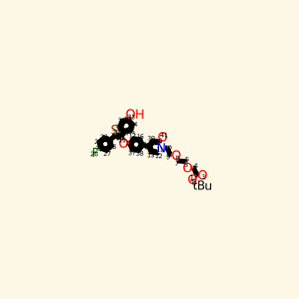 CC(C)(C)OC(=O)COCCOCCn1ccc(-c2ccc(Oc3c(-c4ccc(F)cc4)sc4cc(O)ccc34)cc2)cc1=O